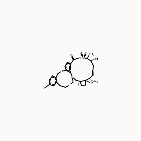 CO[C@H]1/C=C/C[C@H](O)[C@H](C)S(=O)(=O)NC(=O)c2ccc3c(c2)N(CCCCc2cc(Cl)ccc2CO3)C[C@@H]2CC[C@H]21